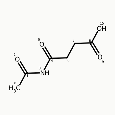 CC(=O)NC(=O)CCC(=O)O